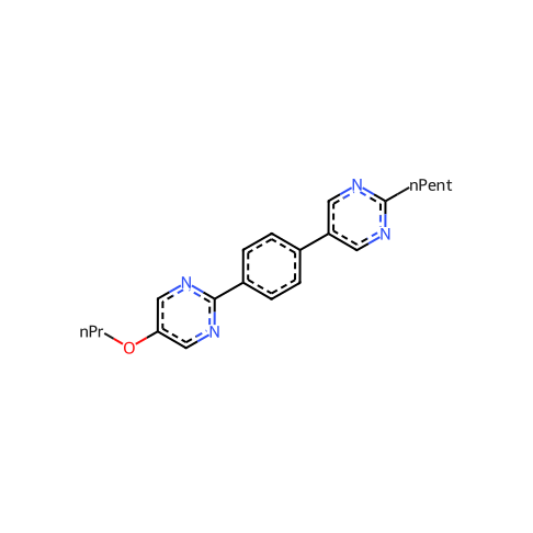 CCCCCc1ncc(-c2ccc(-c3ncc(OCCC)cn3)cc2)cn1